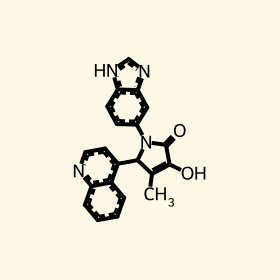 CC1=C(O)C(=O)N(c2ccc3[nH]cnc3c2)C1c1ccnc2ccccc12